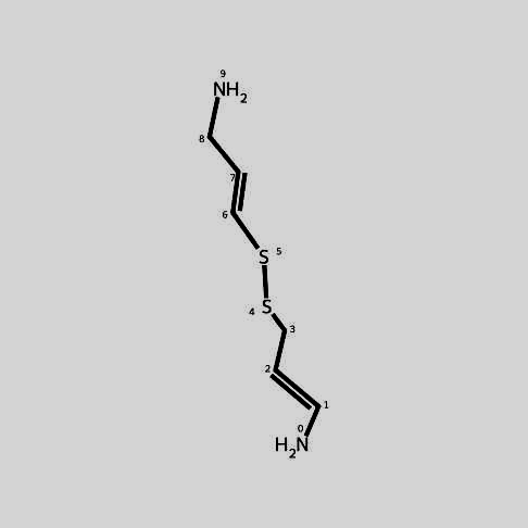 NC=CCSSC=CCN